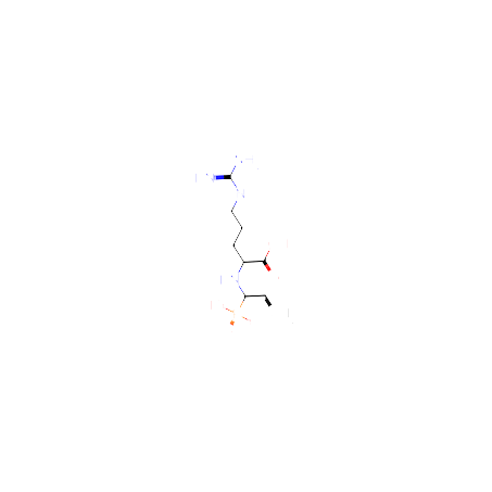 C=CC(NC(CCCNC(=N)N)C(=O)O)P(=O)(O)O